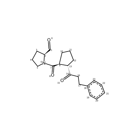 O=C[C@@H]1CCCN1C(=O)[C@H]1CCC[C@@H]1C(=O)CCc1ccccc1